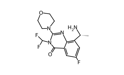 C[C@@H](N)c1cc(F)cc2c(=O)n(C(F)F)c(N3CCOCC3)nc12